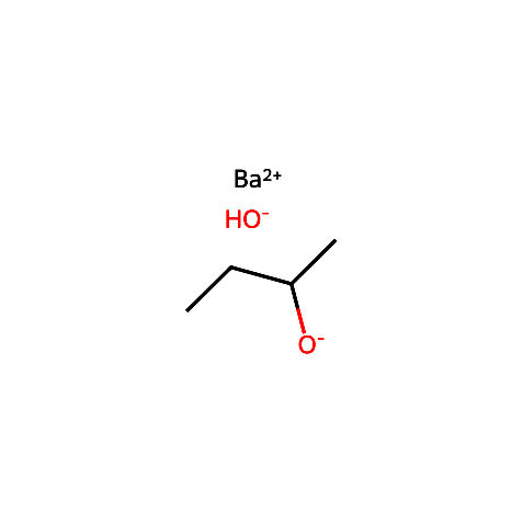 CCC(C)[O-].[Ba+2].[OH-]